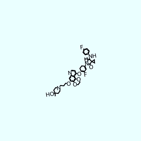 CC1(O)CCN(CCCOc2cc3nccc(OC4=C(F)C=C(NC(=O)C5(C(=O)Nc6ccc(F)cc6)CC5)CC4)c3c3c2OCCO3)CC1